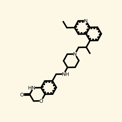 CCc1cnc2cccc(C(C)CN3CCC(NCc4ccc5c(c4)NC(=O)CO5)CC3)c2c1